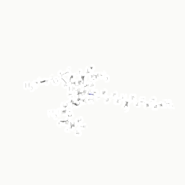 CC#CCOc1ccc(C[C@H](NC(=O)[C@@H](/C=C/CCCCCCC(=O)CCCCCCC)[C@@](O)(CC(=O)OC(C)OC(=O)N2CCCC2)C(=O)O)C(=O)OC)cc1